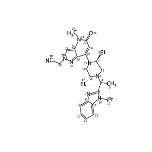 CC[C@H]1CN(C(C)c2nc3ccccc3n2C(C)C)[C@H](CC)CN1c1cc(=O)n(C)c2cn(CC#N)nc12